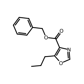 CCCc1ocnc1C(=O)OCc1ccccc1